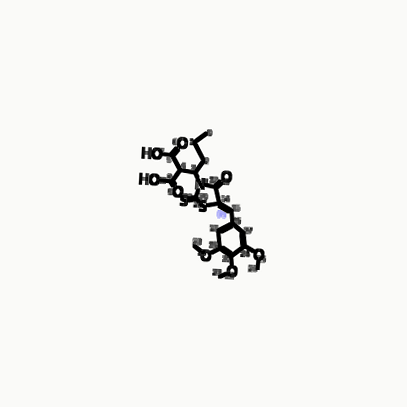 CCCC(C(C(=O)O)C(=O)O)N1C(=O)/C(=C/c2cc(OC)c(OC)c(OC)c2)SC1=S